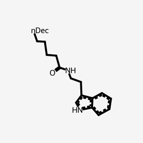 CCCCCCCCCCCCCCC(=O)NCCc1c[nH]c2ccccc12